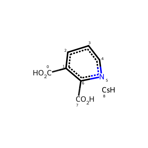 O=C(O)c1cccnc1C(=O)O.[CsH]